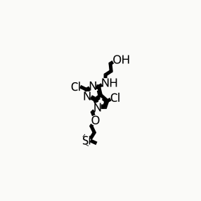 C[Si](C)(C)CCOCn1cc(Cl)c2c(NCCCO)nc(Cl)nc21